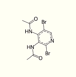 CC(=O)Nc1c(Br)cnc(Br)c1NC(C)=O